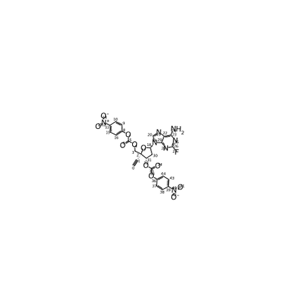 C#C[C@]1(COC(=O)Oc2ccc([N+](=O)[O-])cc2)O[C@@H](n2cnc3c(N)nc(F)nc32)C[C@@H]1OC(=O)Oc1ccc([N+](=O)[O-])cc1